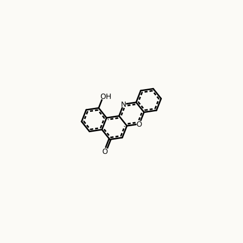 O=c1cc2oc3ccccc3nc-2c2c(O)cccc12